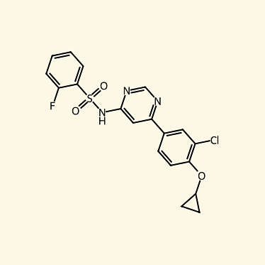 O=S(=O)(Nc1cc(-c2ccc(OC3CC3)c(Cl)c2)ncn1)c1ccccc1F